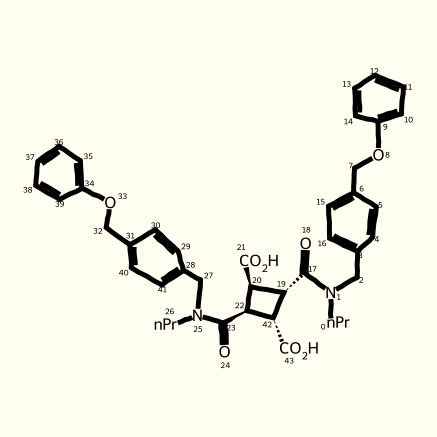 CCCN(Cc1ccc(COc2ccccc2)cc1)C(=O)[C@H]1[C@H](C(=O)O)[C@H](C(=O)N(CCC)Cc2ccc(COc3ccccc3)cc2)[C@H]1C(=O)O